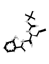 C=CC[C@H](NC(=O)OC(C)(C)C)C(=O)NC(C)c1ccccc1N